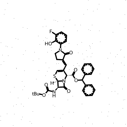 CC(C)(C)OC(=O)N[C@@H]1C(=O)N2[C@@H](C(=O)OC(c3ccccc3)c3ccccc3)C(/C=C3\CCN(c4cccc(F)c4O)C3=O)=CS[C@H]12